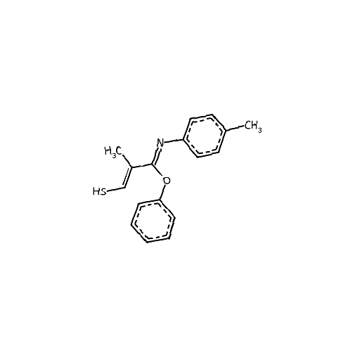 CC(=C\S)/C(=N/c1ccc(C)cc1)Oc1ccccc1